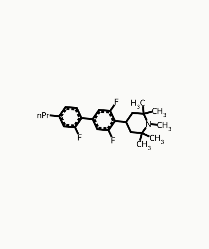 CCCc1ccc(-c2cc(F)c(C3CC(C)(C)N(C)C(C)(C)C3)c(F)c2)c(F)c1